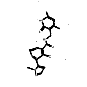 Cc1cc(C)c(CNC(=O)c2ccnc(-c3ccnn3C)c2Cl)c(=O)[nH]1